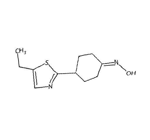 CCc1cnc(C2CCC(=NO)CC2)s1